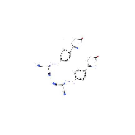 C[C@@H]1CC(=O)NN=C1c1ccc(NN=C(C#N)C#N)cc1.C[C@@H]1CC(=O)NN=C1c1ccc(NN=C(C#N)C#N)cc1